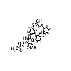 COC(=O)[C@H](CCS(C)(=O)=O)NC(=O)c1ccc(C[As](C)CCC2CCCCC2)cc1-c1ccccc1C